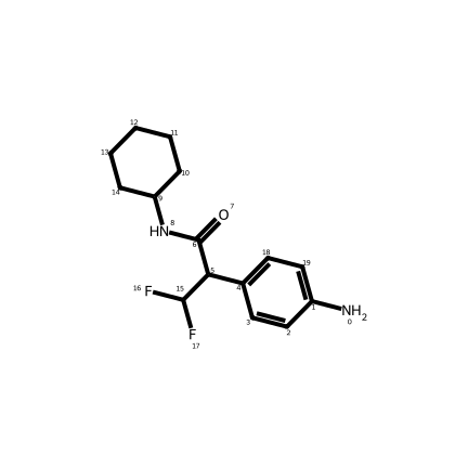 Nc1ccc(C(C(=O)NC2CCCCC2)C(F)F)cc1